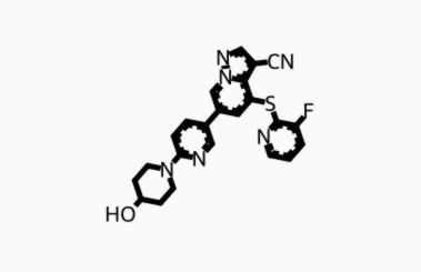 N#Cc1cnn2cc(-c3ccc(N4CCC(O)CC4)nc3)cc(Sc3ncccc3F)c12